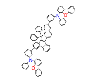 c1ccc(N(c2cccc(-c3ccc4c5c(ccc4c3)-c3c(c4ccc(-c6cccc(N(c7ccccc7)c7cccc8c7oc7ccccc78)c6)cc4c4ccccc34)C5(c3ccccc3)c3ccccc3)c2)c2cccc3c2oc2ccccc23)cc1